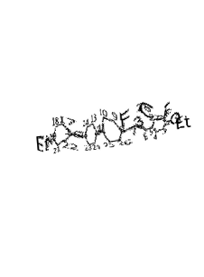 CCOc1ccc(/C=C/C2CCC(C3CCC(C4CCC(CC)CC4)CC3)CC2)c(C(F)(F)F)c1F